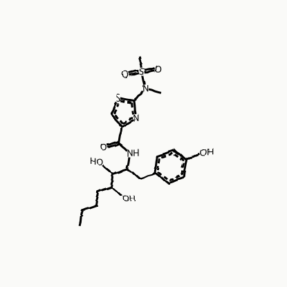 CCCCC(O)C(O)C(Cc1ccc(O)cc1)NC(=O)c1csc(N(C)S(C)(=O)=O)n1